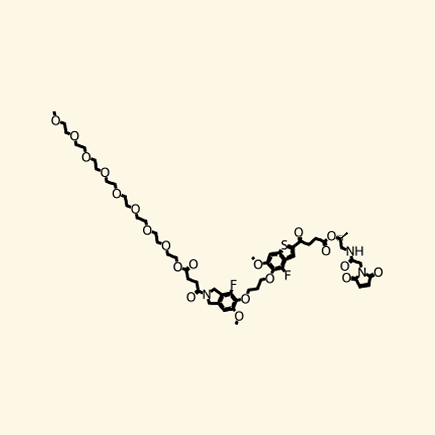 COCCOCCOCCOCCOCCOCCOCCOCCOC(=O)CCC(=O)N1Cc2cc(OC)c(OCCCOc3c(OC)cc4sc(C(=O)CCC(=O)O[C@@H](C)CNC(=O)CN5C(=O)C=CC5=O)cc4c3F)c(F)c2C1